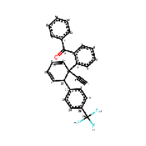 C#CC1(c2ccccc2C(=O)c2ccccc2)C=CC=CC1c1ccc(C(F)(F)F)cc1